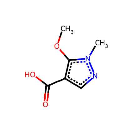 COc1c(C(=O)O)cnn1C